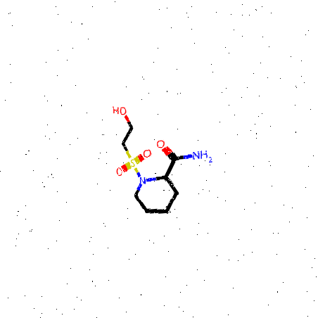 NC(=O)C1C[CH]CCN1S(=O)(=O)CCO